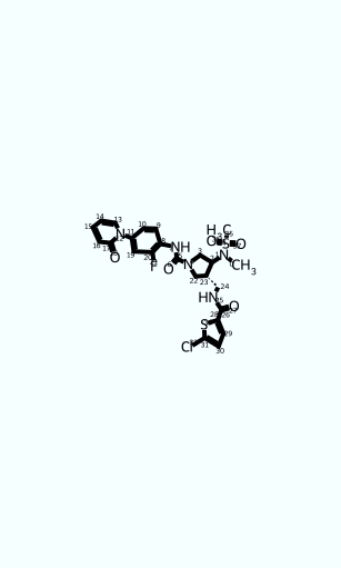 CN(C1CN(C(=O)Nc2ccc(-n3ccccc3=O)cc2F)C[C@H]1CNC(=O)c1ccc(Cl)s1)S(C)(=O)=O